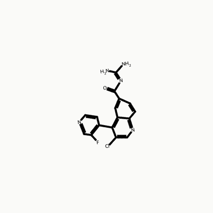 NC(N)=NC(=O)c1ccc2ncc(Cl)c(-c3ccncc3F)c2c1